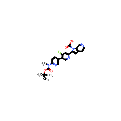 CN(C(=O)OC(C)(C)C)c1ccc(-c2cnc(-c3cc4ccncc4n3C(=O)O)cc2F)cn1